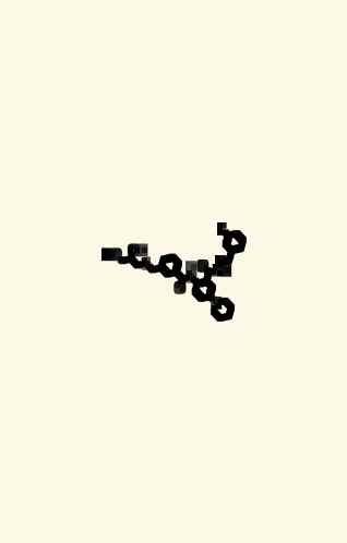 O=C(Nc1ccc(N2CCCCC2)cc1C(=O)NN=Cc1cccc(F)c1)c1cccc(CSCC(O)CO)c1